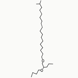 CCCCOC(CCC)COCCCCCCCCCCCCCCCCC(C)C